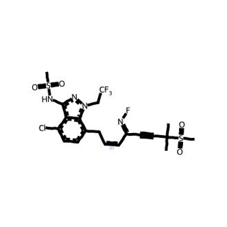 CC(C)(C#CC(/C=C\Cc1ccc(Cl)c2c(NS(C)(=O)=O)nn(CC(F)(F)F)c12)=NF)S(C)(=O)=O